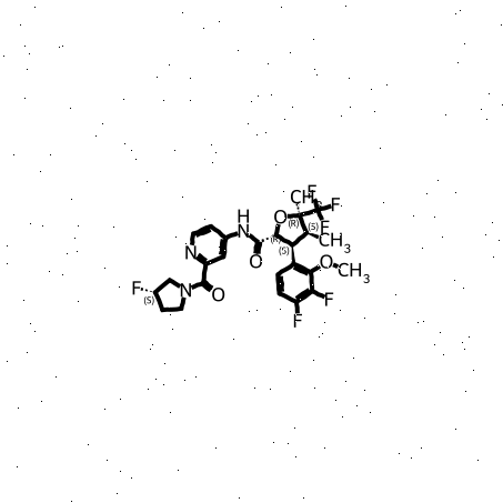 COc1c([C@H]2[C@H](C(=O)Nc3ccnc(C(=O)N4CC[C@H](F)C4)c3)O[C@@](C)(C(F)(F)F)[C@H]2C)ccc(F)c1F